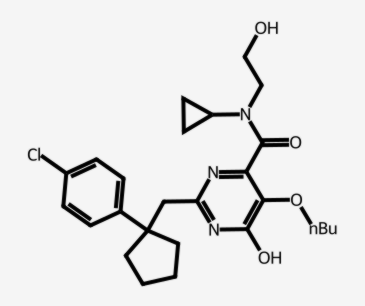 CCCCOc1c(O)nc(CC2(c3ccc(Cl)cc3)CCCC2)nc1C(=O)N(CCO)C1CC1